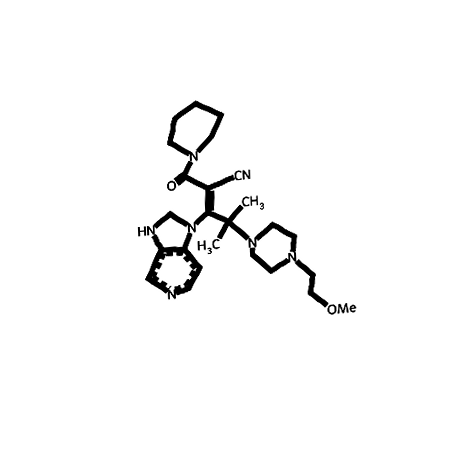 COCCN1CCN(C(C)(C)C(=C(C#N)C(=O)N2CCCCC2)N2CNc3cnccc32)CC1